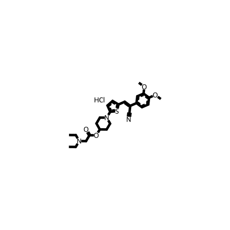 CCN(CC)CC(=O)OC1CCN(c2ccc(C=C(C#N)c3ccc(OC)c(OC)c3)s2)CC1.Cl